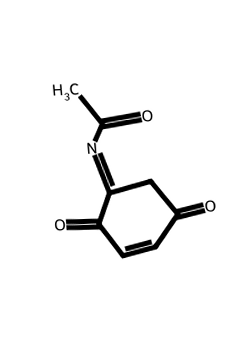 CC(=O)N=C1CC(=O)C=CC1=O